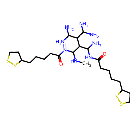 CNC(NC(=O)CCCCC1CCSS1)C(C(N)NC(=O)CCCCC1CCSS1)C(C(N)N)C(N)N